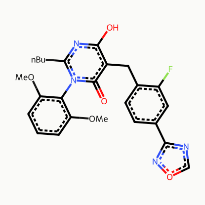 CCCCc1nc(O)c(Cc2ccc(-c3ncon3)cc2F)c(=O)n1-c1c(OC)cccc1OC